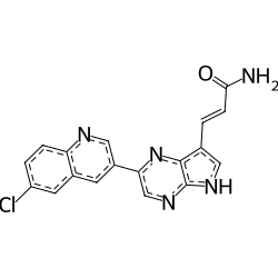 NC(=O)/C=C/c1c[nH]c2ncc(-c3cnc4ccc(Cl)cc4c3)nc12